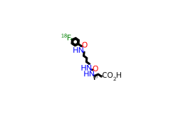 C[C@H](CCC(=O)O)NC(=O)NCCCCCNC(=O)c1ccc([18F])cc1